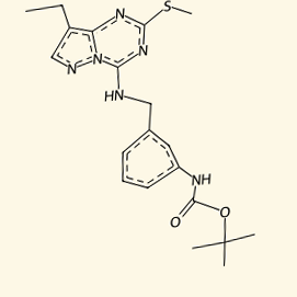 CCc1cnn2c(NCc3cccc(NC(=O)OC(C)(C)C)c3)nc(SC)nc12